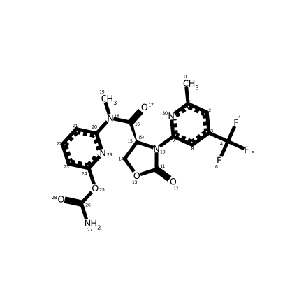 Cc1cc(C(F)(F)F)cc(N2C(=O)OC[C@H]2C(=O)N(C)c2cccc(OC(N)=O)n2)n1